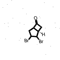 O=C1C[C@@H]2C1CC(Br)C2Br